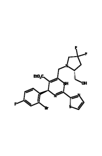 CCOC(=O)C1=C(CN2CC(F)(F)C[C@@H]2CO)NC(c2nccs2)=N[C@H]1c1ccc(F)cc1Br